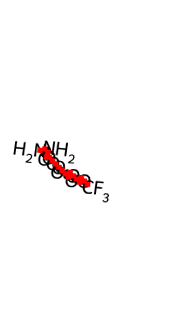 Nc1cc(N)cc(C(=O)OCCOCCOC(=O)C=Cc2ccc(OC(=O)c3ccc(OCCC(F)(F)F)cc3)cc2)c1